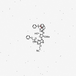 CO[C@H]1C(O[P@@]2O[C@H](C[Si](C)(c3ccccc3)c3ccccc3)[C@@H]3CCCN32)[C@@H](CO)O[C@H]1n1cnc2c(OCCC#N)nc(NC(=O)COc3ccccc3)nc21